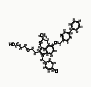 CC1Cc2c(OCc3ccc(-c4ccccc4)cn3)ccc3c2c(c(CCOCCC(=O)O)n3Cc2ccc(Cl)cc2)S1